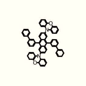 C1=CC2OC3=C(C=CCC3)N(c3ccc4c(-c5cccc(C6=CCCC=C6)c5)c5cc(N6c7ccccc7Oc7ccccc76)ccc5c(-c5cccc(-c6ccccc6)c5)c4c3)C2C=C1